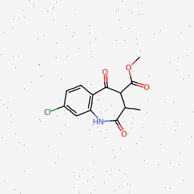 COC(=O)C1C(=O)c2ccc(Cl)cc2NC(=O)C1C